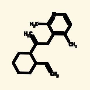 C=CC1CCCCC1C(=C)Cc1c(C)ccnc1C